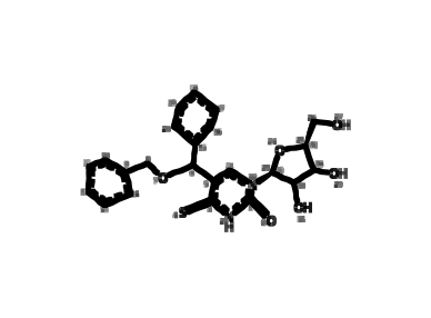 O=c1[nH]c(=S)c(C(OCc2ccccc2)c2ccccc2)cn1[C@H]1O[C@@H](CO)C(O)C1O